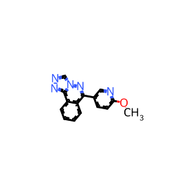 COc1ccc(-c2nn3cnnc3c3ccccc23)cn1